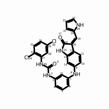 O=C(Nc1cccc(Nc2ccc3c(c2)NC(=O)/C3=C\c2ccc[nH]2)c1)Nc1cc(Cl)ccc1Cl